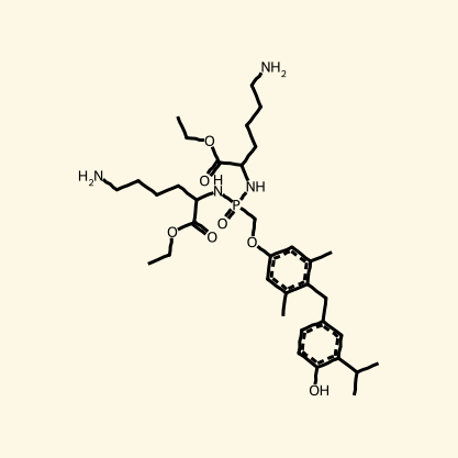 CCOC(=O)C(CCCCN)NP(=O)(COc1cc(C)c(Cc2ccc(O)c(C(C)C)c2)c(C)c1)NC(CCCCN)C(=O)OCC